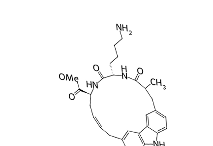 COC(=O)[C@@H]1CC=CCc2ccc3[nH]c4ccc(cc4c3c2)CC(C)C(=O)N[C@@H](CCCCN)C(=O)N1